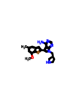 COc1cc(C)cc2cc(-c3cn(CC4CCNC4)c4ncnc(N)c34)sc12